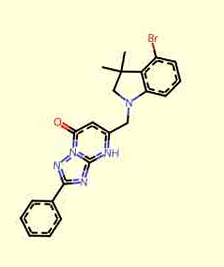 CC1(C)CN(Cc2cc(=O)n3nc(-c4ccccc4)nc3[nH]2)c2cccc(Br)c21